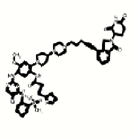 COc1cc(N2CCC(N3CCN(CCCC#Cc4cccc5c4CN(C4CCC(=O)NC4=O)C5=O)CC3)CC2)c(NC(=O)/C=C/c2cccs2)cc1Nc1ncc(Cl)c(Nc2ccccc2P(C)(C)=O)n1